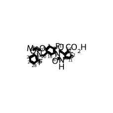 COc1cc(F)c(-n2c(=O)[nH]c3csc(C(=O)O)c3c2=O)cc1CN1CCOc2cccc(F)c21